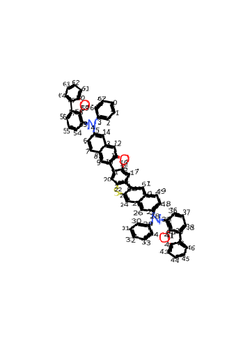 c1ccc(N(c2ccc3cc4c(cc3c2)oc2cc3c(cc24)sc2cc4cc(N(c5ccccc5)c5cccc6c5oc5ccccc56)ccc4cc23)c2cccc3c2oc2ccccc23)cc1